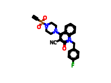 C#CS(=O)(=O)N1CCN(c2c(C#N)c(=O)n(Cc3ccc(F)cc3)c3ccccc23)CC1